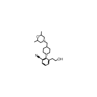 CC1CN(CC2CCN(c3c(C#N)cccc3CCO)CC2)CC(C)O1